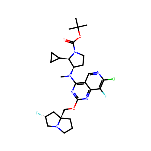 CN(c1nc(OC[C@@]23CCCN2C[C@H](F)C3)nc2c(F)c(Cl)ncc12)[C@@H]1CCN(C(=O)OC(C)(C)C)[C@@H]1C1CC1